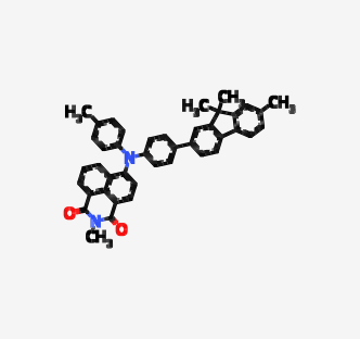 Cc1ccc(N(c2ccc(-c3ccc4c(c3)C(C)(C)c3cc(C)ccc3-4)cc2)c2ccc3c4c(cccc24)C(=O)N(C)C3=O)cc1